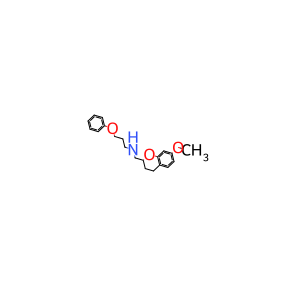 COc1ccc2c(c1)OC(CNCCCOc1ccccc1)CC2